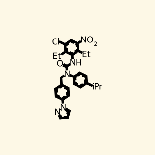 CCc1c(Cl)cc([N+](=O)[O-])c(CC)c1NC(=O)N(Cc1ccc(-n2cccn2)cc1)c1ccc(C(C)C)cc1